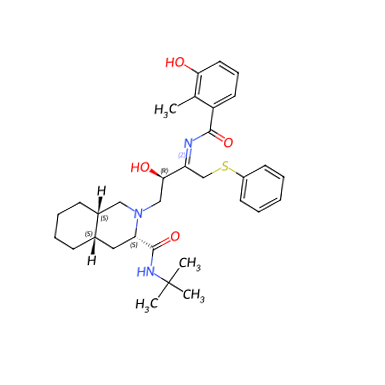 Cc1c(O)cccc1C(=O)/N=C(\CSc1ccccc1)[C@H](O)CN1C[C@H]2CCCC[C@H]2C[C@H]1C(=O)NC(C)(C)C